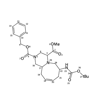 COC(=O)C1CN(C(=O)OCc2ccccc2)CC2C/C=C\CC(NC(=O)OC(C)(C)C)CN21